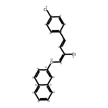 CCC(C=Cc1ccc(Cl)cc1)=COc1ccc2ccccc2c1